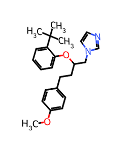 COc1ccc(CCC(Cn2ccnc2)Oc2ccccc2C(C)(C)C)cc1